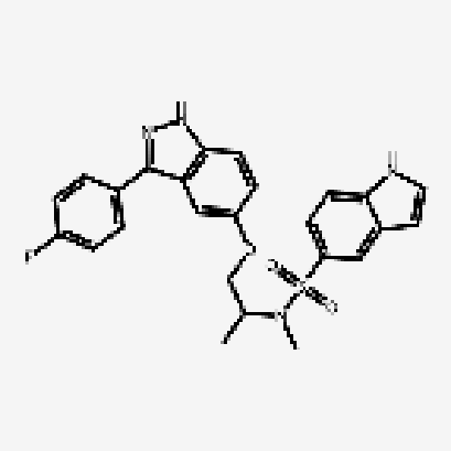 CC(COc1ccc2[nH]nc(-c3ccc(F)cc3)c2c1)N(C)S(=O)(=O)c1ccc2[nH]ccc2c1